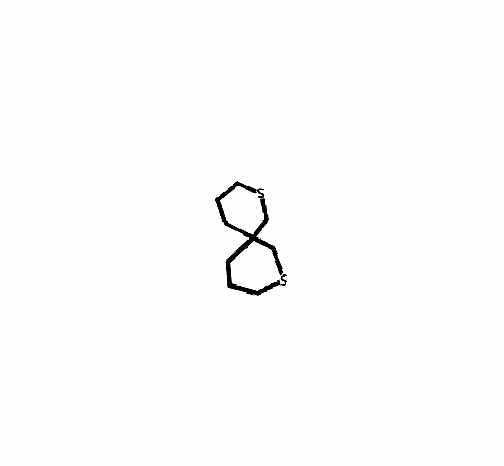 C1CSCC2(C1)CCCSC2